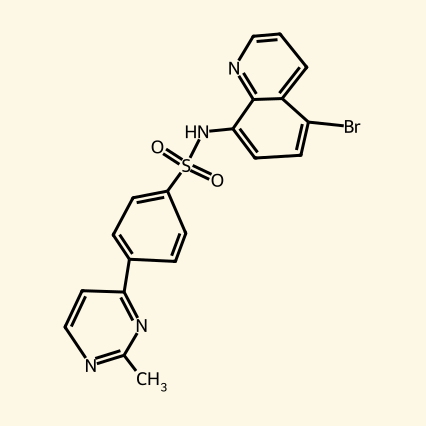 Cc1nccc(-c2ccc(S(=O)(=O)Nc3ccc(Br)c4cccnc34)cc2)n1